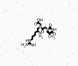 Cc1cn(CC(=O)N(CC(=O)O)CC(N)CCCCNC(=N)N)c(=O)[nH]c1=O